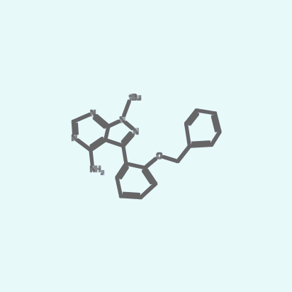 CC(C)(C)n1nc(-c2ccccc2OCc2ccccc2)c2c(N)ncnc21